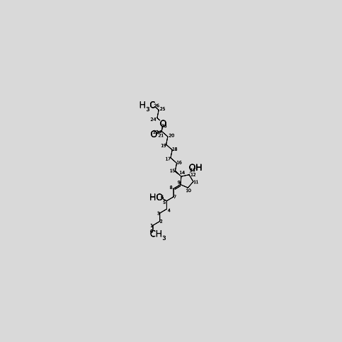 CCCCCC(O)CC=C1CC[C@@H](O)[C@@H]1CCCCCCC(=O)OCCC